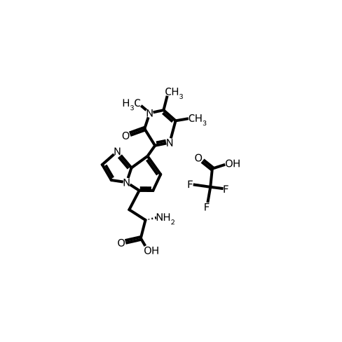 Cc1nc(-c2ccc(C[C@H](N)C(=O)O)n3ccnc23)c(=O)n(C)c1C.O=C(O)C(F)(F)F